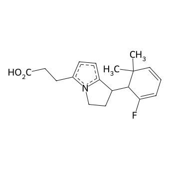 CC1(C)C=CC=C(F)C1C1CCn2c(CCC(=O)O)ccc21